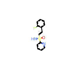 N=S(=O)(/C=C/c1ccccc1F)c1ccccn1